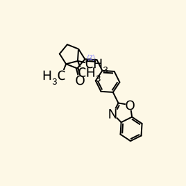 CC12CCC(/C(=C/c3ccc(-c4nc5ccccc5o4)cc3)C1=O)C2(C)C